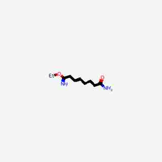 CCOC(=N)CCCCCCC(N)=O